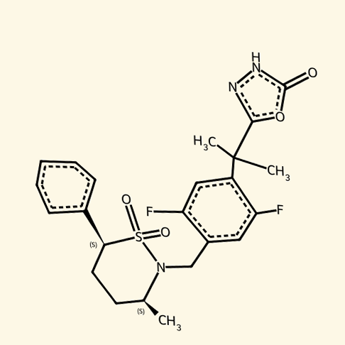 C[C@H]1CC[C@@H](c2ccccc2)S(=O)(=O)N1Cc1cc(F)c(C(C)(C)c2n[nH]c(=O)o2)cc1F